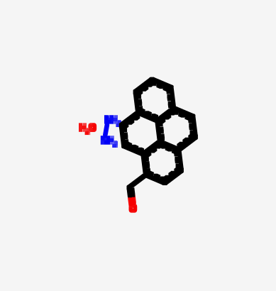 NN.O.O=Cc1ccc2ccc3cccc4ccc1c2c34